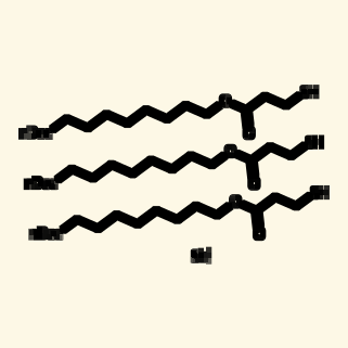 CCCCCCCCCCCCCCCCCCOC(=O)CCS.CCCCCCCCCCCCCCCCCCOC(=O)CCS.CCCCCCCCCCCCCCCCCCOC(=O)CCS.[Sb]